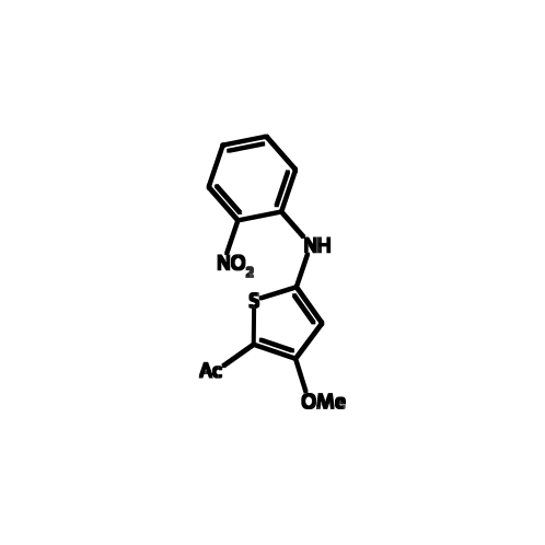 COc1cc(Nc2ccccc2[N+](=O)[O-])sc1C(C)=O